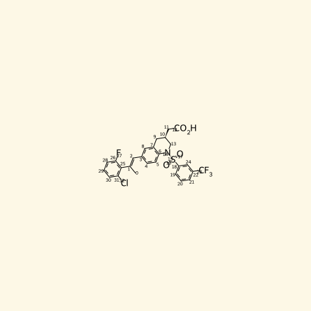 C/C(=C\c1ccc2c(c1)C[C@@H](CC(=O)O)CN2S(=O)(=O)c1cccc(C(F)(F)F)c1)c1c(F)cccc1Cl